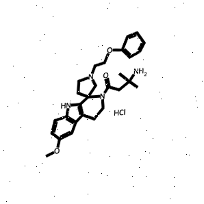 COc1ccc2[nH]c3c(c2c1)CCN(C(=O)CC(C)(C)N)C31CCN(CCOc2ccccc2)C1.Cl